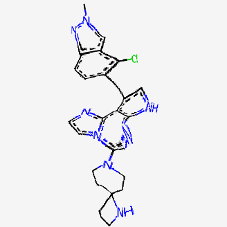 Cn1cc2c(Cl)c(-c3c[nH]c4nc(N5CCC6(CCN6)CC5)n5ccnc5c34)ccc2n1